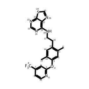 Cc1cc(Oc2cc(C(F)(F)F)ccn2)c(C)cc1CCNc1ncnc2scnc12